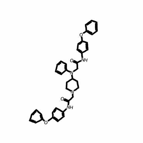 O=C(CN1CCC(N(CC(=O)Nc2ccc(Oc3ccccc3)cc2)c2ccccc2)CC1)Nc1ccc(Oc2ccccc2)cc1